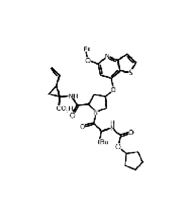 C=CC1CC1(NC(=O)C1CC(Oc2cc(OCC)nc3ccsc23)CN1C(=O)C(NC(=O)OC1CCCC1)C(C)(C)C)C(=O)O